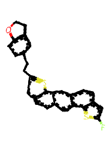 Fc1cc2ccc3cc4c(ccc5cc(CCc6ccc7c(c6)CCO7)sc54)cc3c2s1